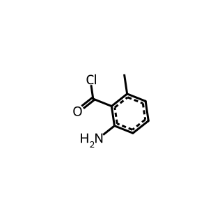 Cc1cccc(N)c1C(=O)Cl